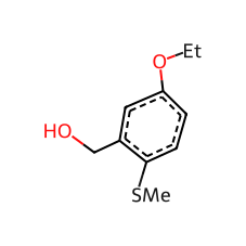 CCOc1ccc(SC)c(CO)c1